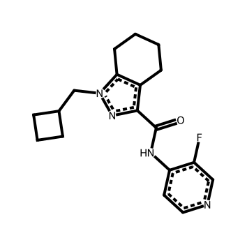 O=C(Nc1ccncc1F)c1nn(CC2CCC2)c2c1CCCC2